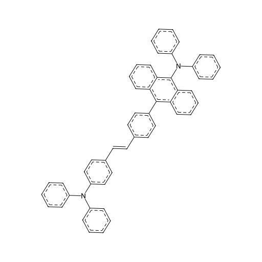 C(=Cc1ccc(N(c2ccccc2)c2ccccc2)cc1)c1ccc(-c2c3ccccc3c(N(c3ccccc3)c3ccccc3)c3ccccc23)cc1